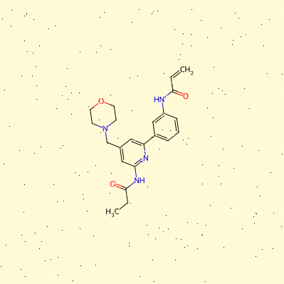 C=CC(=O)Nc1cccc(-c2cc(CN3CCOCC3)cc(NC(=O)CC)n2)c1